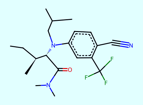 CC[C@H](C)[C@@H](C(=O)N(C)C)N(CC(C)C)c1ccc(C#N)c(C(F)(F)F)c1